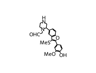 COc1cc(-c2oc3ccc(C4CNCCN4CC=O)cc3c2SC)ccc1O